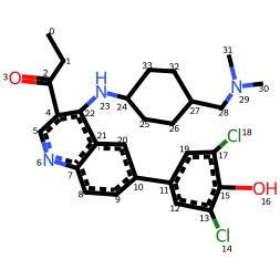 CCC(=O)c1cnc2ccc(-c3cc(Cl)c(O)c(Cl)c3)cc2c1NC1CCC(CN(C)C)CC1